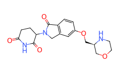 O=C1CCC(N2Cc3cc(OC[C@@H]4COCCN4)ccc3C2=O)C(=O)N1